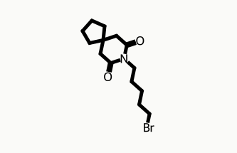 O=C1CC2(CCCC2)CC(=O)N1CCCCCBr